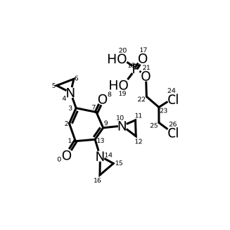 O=C1C=C(N2CC2)C(=O)C(N2CC2)=C1N1CC1.O=P(O)(O)OCC(Cl)CCl